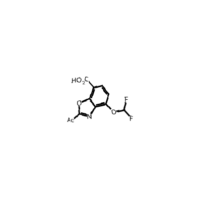 CC(=O)c1nc2c(OC(F)F)ccc(C(=O)O)c2o1